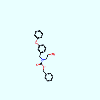 O=C(OCc1ccccc1)N(CCO)Cc1cccc(Oc2ccccc2)c1